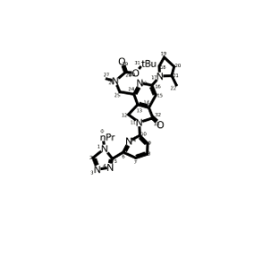 CCCn1cnnc1-c1cccc(N2Cc3c(cc(N4CCCC4C)nc3CN(C)C(=O)OC(C)(C)C)C2=O)n1